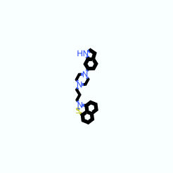 c1cc2c3c(cccc3c1)N(CCCN1CCN(c3ccc4cc[nH]c4c3)CC1)S2